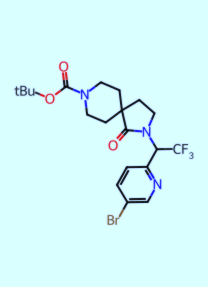 CC(C)(C)OC(=O)N1CCC2(CC1)CCN(C(c1ccc(Br)cn1)C(F)(F)F)C2=O